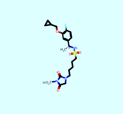 C[C@@H](NS(=O)(=O)CCCCCN1CC(=O)N(C(=O)O)C1=O)c1ccc(F)c(OCC2CC2)c1